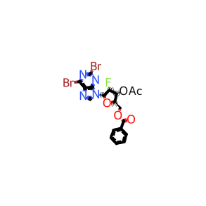 CC(=O)O[C@H]1[C@@H](F)[C@H](n2cnc3c(Br)nc(Br)nc32)O[C@@H]1COC(=O)c1ccccc1